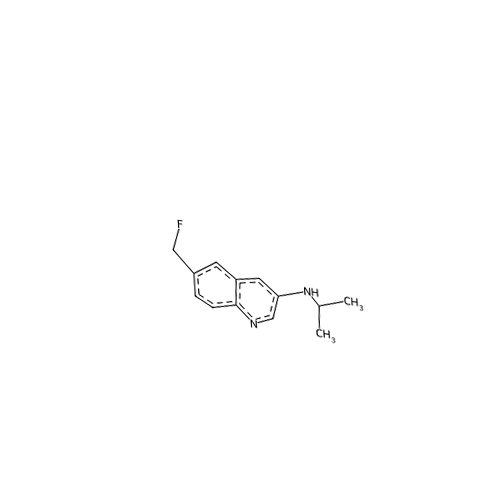 CC(C)Nc1cnc2ccc(CF)cc2c1